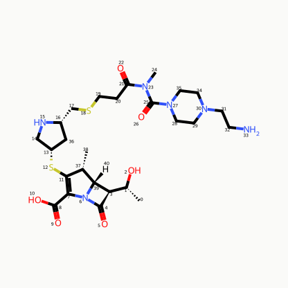 C[C@@H](O)[C@H]1C(=O)N2C(C(=O)O)=C(S[C@@H]3CN[C@H](CSCCC(=O)N(C)C(=O)N4CCN(CCN)CC4)C3)[C@H](C)[C@H]12